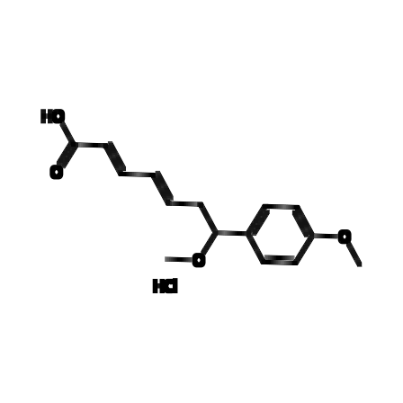 COc1ccc(C(CC=CC=CC(=O)O)OC)cc1.Cl